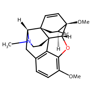 COc1ccc2c3c1O[C@H]1[C@@]4(OC)C=C[C@@]5(C[C@@H]4C(C)=O)[C@@H](C2)N(C)CC[C@]315